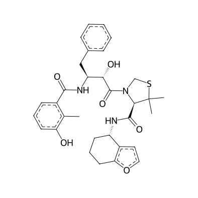 Cc1c(O)cccc1C(=O)N[C@@H](Cc1ccccc1)[C@H](O)C(=O)N1CSC(C)(C)[C@H]1C(=O)N[C@H]1CCCc2occc21